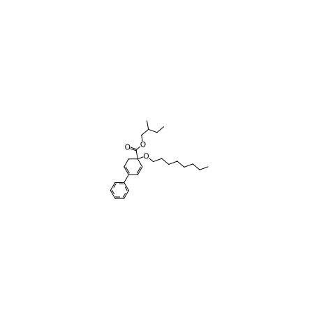 CCCCCCCCOC1(C(=O)OCC(C)CC)C=CC(c2ccccc2)=CC1